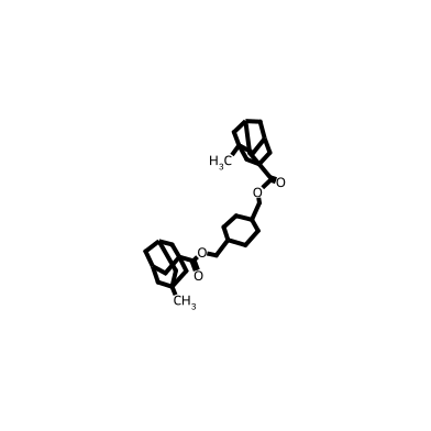 CC12CC3CC(C1)CC(C(=O)OCC1CCC(COC(=O)C45CC6CC(CC(C)(C6)C4)C5)CC1)(C3)C2